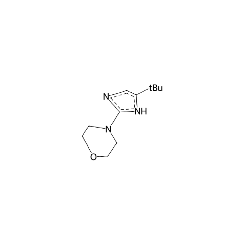 CC(C)(C)c1cnc(N2CCOCC2)[nH]1